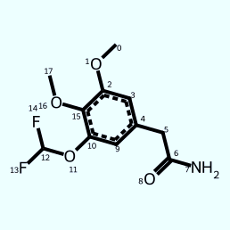 COc1cc(CC(N)=O)cc(OC(F)F)c1OC